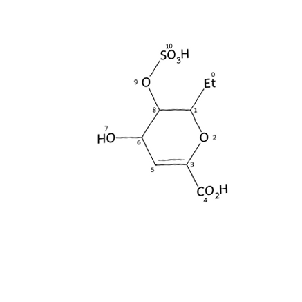 CCC1OC(C(=O)O)=CC(O)C1OS(=O)(=O)O